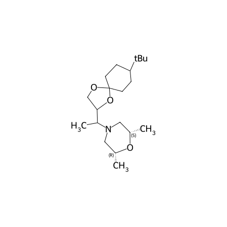 CC(C1COC2(CCC(C(C)(C)C)CC2)O1)N1C[C@@H](C)O[C@@H](C)C1